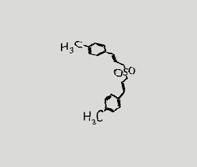 Cc1ccc(C=CCS(=O)(=O)CC=Cc2ccc(C)cc2)cc1